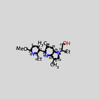 CCc1nc(OC)ccc1-c1nc2c(C)cn(C(CC)CO)c2cc1C